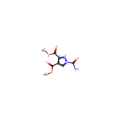 CC(C)(C)OC(=O)c1cn(C(N)=O)nc1C(=O)OC(C)(C)C